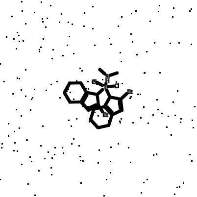 CCC1=CC2=C(CCCC2)[CH]1[Ti]([Cl])([Cl])([CH]1C(CC)=CC2=C1CCCC2)[SiH](C)C